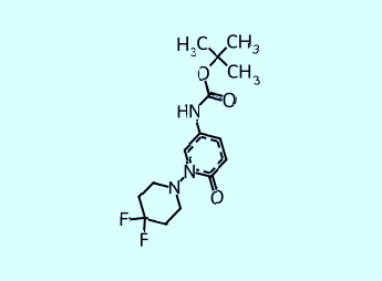 CC(C)(C)OC(=O)Nc1ccc(=O)n(N2CCC(F)(F)CC2)c1